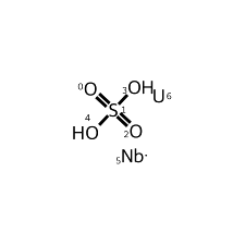 O=S(=O)(O)O.[Nb].[U]